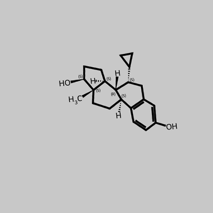 C[C@]12CC[C@@H]3c4ccc(O)cc4C[C@@H](C4CC4)[C@H]3[C@@H]1CC[C@@H]2O